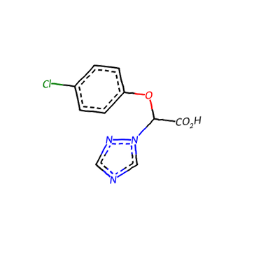 O=C(O)C(Oc1ccc(Cl)cc1)n1cncn1